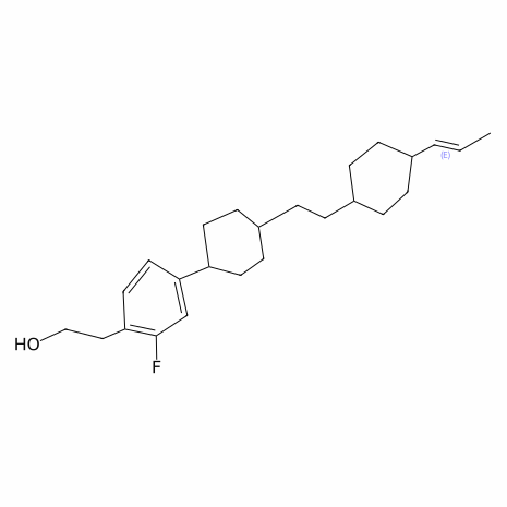 C/C=C/C1CCC(CCC2CCC(c3ccc(CCO)c(F)c3)CC2)CC1